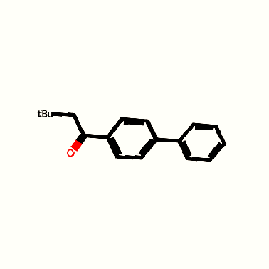 CC(C)(C)CC(=O)c1ccc(-c2ccccc2)cc1